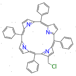 ClCC1=CC2=C(c3ccccc3)C3=NC(=C(c4ccccc4)C4=NC(=C(c5ccccc5)C5=NC(=C(c6ccccc6)C1=N2)C=C5)C=C4)C=C3